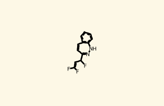 FC(F)=CC(F)C1=NNc2ccccc2C=C1